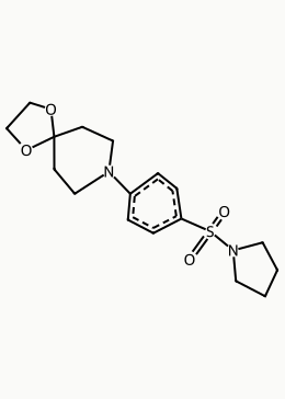 O=S(=O)(c1ccc(N2CCC3(CC2)OCCO3)cc1)N1CCCC1